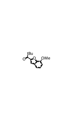 COc1cccc2cc(C(=O)C(C)(C)C)oc12